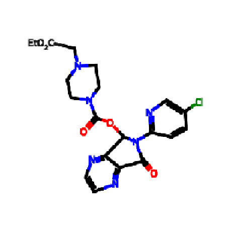 CCOC(=O)CN1CCN(C(=O)OC2c3nccnc3C(=O)N2c2ccc(Cl)cn2)CC1